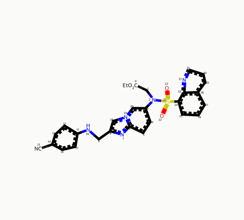 CCOC(=O)CN(c1ccc2nc(CNc3ccc(C#N)cc3)cn2c1)S(=O)(=O)c1cccc2cccnc12